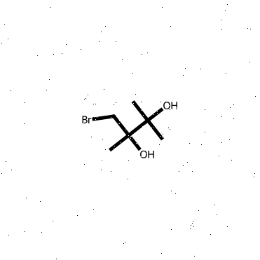 CC(C)(O)C(C)(O)CBr